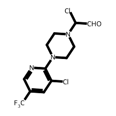 O=CC(Cl)N1CCN(c2ncc(C(F)(F)F)cc2Cl)CC1